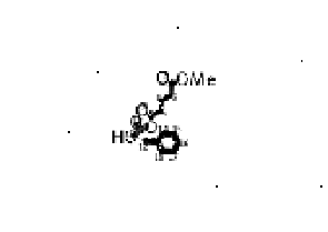 COC(=O)CCCC(=O)OP(=O)(O)Cc1ccccc1